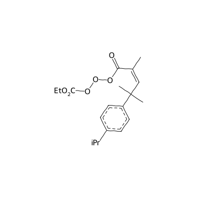 CCOC(=O)OOOC(=O)/C(C)=C\C(C)(C)c1ccc(C(C)C)cc1